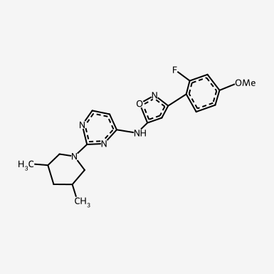 COc1ccc(-c2cc(Nc3ccnc(N4CC(C)CC(C)C4)n3)on2)c(F)c1